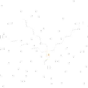 CC=P[PH](CCCCCCCC)(CCCCCCCC)CCCCCCCC